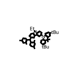 CCn1c2ccc(C(c3ccc(C)cc3C)c3ccc(C)cc3C)cc2c2cc(N3c4ccc(C(C)(C)C)cc4C(C)(C)c4cc(C(C)(C)C)ccc43)ccc21